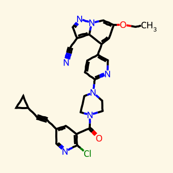 CCOc1cc(-c2ccc(N3CCN(C(=O)c4cc(C#CC5CC5)cnc4Cl)CC3)nc2)c2c(C#N)cnn2c1